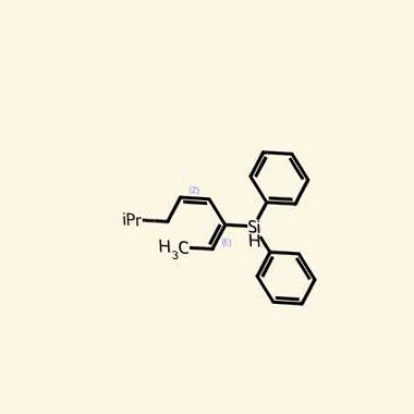 C/C=C(\C=C/CC(C)C)[SiH](c1ccccc1)c1ccccc1